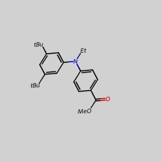 CCN(c1ccc(C(=O)OC)cc1)c1cc(C(C)(C)C)cc(C(C)(C)C)c1